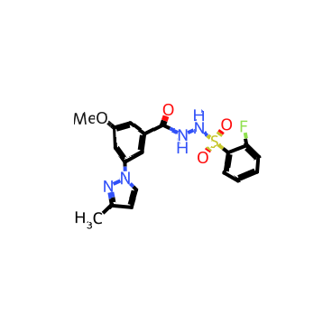 COc1cc(C(=O)NNS(=O)(=O)c2ccccc2F)cc(-n2ccc(C)n2)c1